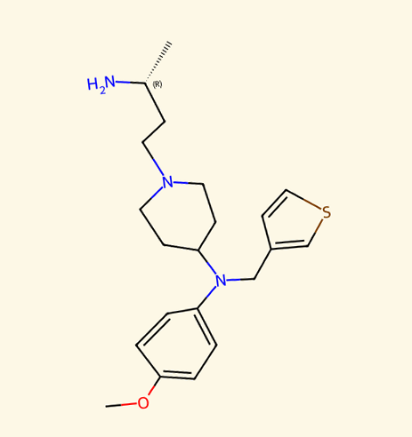 COc1ccc(N(Cc2ccsc2)C2CCN(CC[C@@H](C)N)CC2)cc1